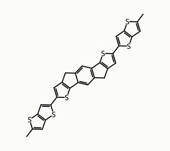 Cc1cc2sc(-c3cc4c(s3)-c3cc5c(cc3C4)-c3sc(-c4cc6sc(C)cc6s4)cc3C5)cc2s1